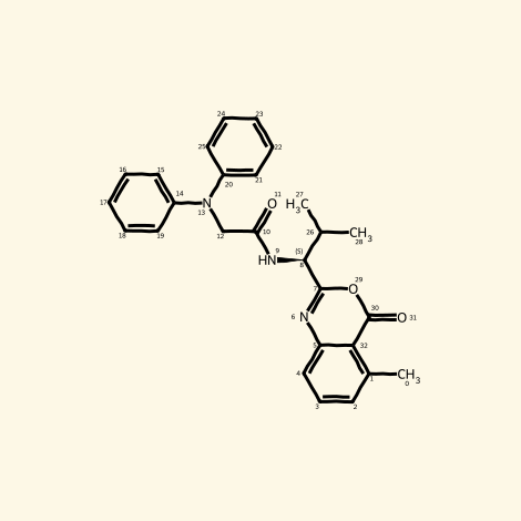 Cc1cccc2nc([C@@H](NC(=O)CN(c3ccccc3)c3ccccc3)C(C)C)oc(=O)c12